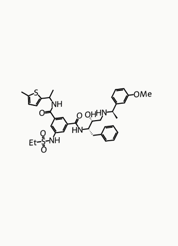 CCS(=O)(=O)Nc1cc(C(=O)NC(C)c2ccc(C)s2)cc(C(=O)N[C@@H](Cc2ccccc2)[C@H](O)CN[C@H](C)c2cccc(OC)c2)c1